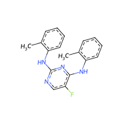 Cc1ccccc1Nc1ncc(F)c(Nc2ccccc2C)n1